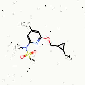 CC1CC1COc1cc(C(=O)O)cc(N(C)S(=O)(=O)C(C)C)n1